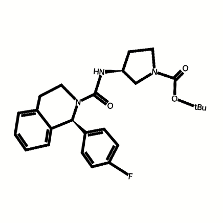 CC(C)(C)OC(=O)N1CC[C@H](NC(=O)N2CCc3ccccc3[C@@H]2c2ccc(F)cc2)C1